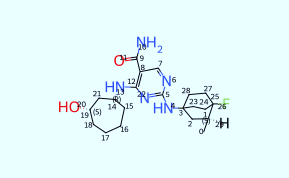 C[C@H]1CC2(Nc3ncc(C(N)=O)c(N[C@@H]4CCCC[C@H](O)C4)n3)CCC1(F)CC2